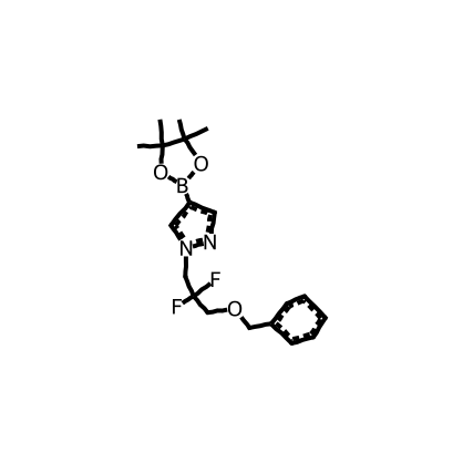 CC1(C)OB(c2cnn(CC(F)(F)COCc3ccccc3)c2)OC1(C)C